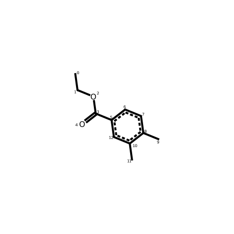 CCOC(=O)c1ccc(C)c(C)c1